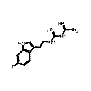 N=C(N)NC(=N)NCCc1c[nH]c2cc(F)ccc12